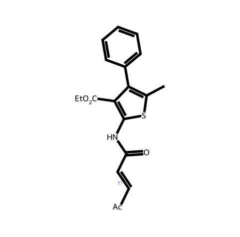 CCOC(=O)c1c(NC(=O)/C=C/C(C)=O)sc(C)c1-c1ccccc1